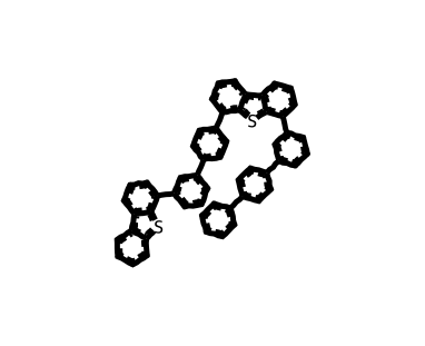 c1ccc(-c2ccc(-c3cccc(-c4cccc5c4sc4c(-c6ccc(-c7cccc(-c8cccc9c8sc8ccccc89)c7)cc6)cccc45)c3)cc2)cc1